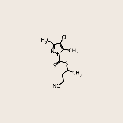 Cc1nn(C(=S)SC(C)CCC#N)c(C)c1Cl